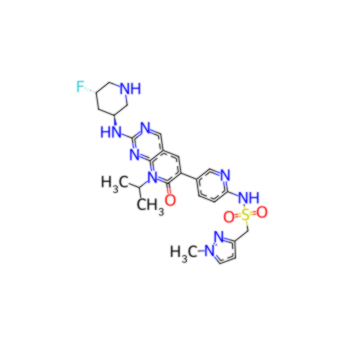 CC(C)n1c(=O)c(-c2ccc(NS(=O)(=O)Cc3ccn(C)n3)nc2)cc2cnc(N[C@@H]3CNC[C@@H](F)C3)nc21